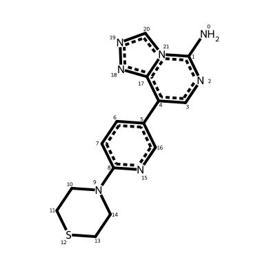 Nc1ncc(-c2ccc(N3CCSCC3)nc2)c2nncn12